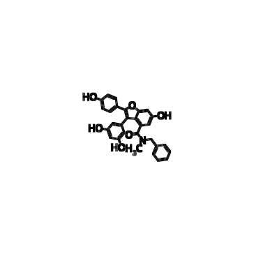 CN(Cc1ccccc1)C(=O)c1cc(O)cc2oc(-c3ccc(O)cc3)c(-c3cc(O)cc(O)c3)c12